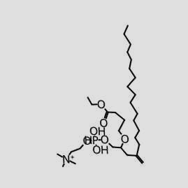 C=C(CCCCCCCCCCCCCCC)CC(CO[PH](O)(O)OCC[N+](C)(C)C)OCCCC(=O)OCC